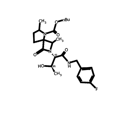 CCCCOC(=O)N1C(C)CCC12C(=O)N([C@H](C(=O)NCc1ccc(F)cc1)[C@@H](C)O)C2C